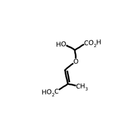 CC(=COC(O)C(=O)O)C(=O)O